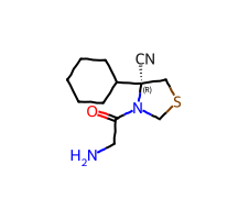 N#C[C@]1(C2CCCCC2)CSCN1C(=O)CN